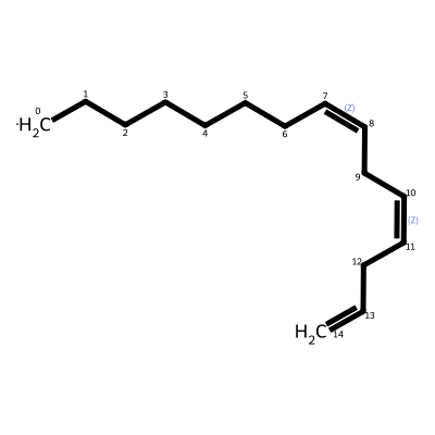 [CH2]CCCCCC/C=C\C/C=C\CC=C